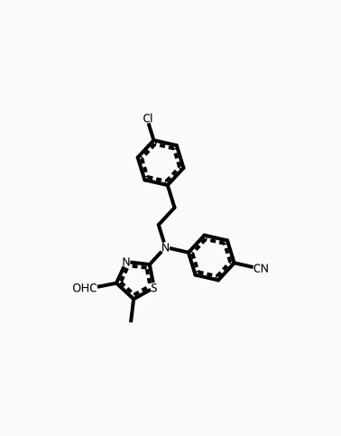 Cc1sc(N(CCc2ccc(Cl)cc2)c2ccc(C#N)cc2)nc1C=O